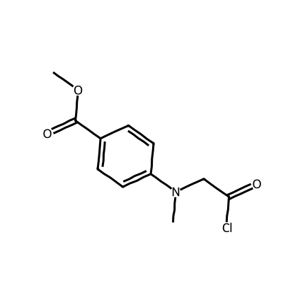 COC(=O)c1ccc(N(C)CC(=O)Cl)cc1